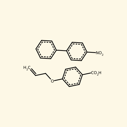 C=CCOc1ccc(C(=O)O)cc1.O=[N+]([O-])c1ccc(-c2ccccc2)cc1